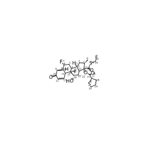 C[C@@H]1C[C@H]2[C@@H]3C[C@H](F)C4=CC(=O)C=C[C@]4(C)[C@@]3(F)[C@@H](O)C[C@]2(C)[C@@]1(OC(=O)C1CCCS1)C(=O)SCF